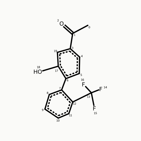 CC(=O)c1ccc(-c2ccccc2C(F)(F)F)c(O)c1